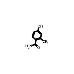 NC(=O)c1ccc(O)cc1C(F)(F)F